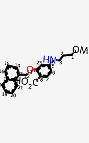 COCCCNc1ccc(C(=O)O)c(OCc2cccc3ccccc23)c1